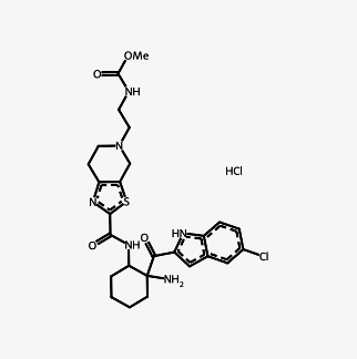 COC(=O)NCCN1CCc2nc(C(=O)NC3CCCCC3(N)C(=O)c3cc4cc(Cl)ccc4[nH]3)sc2C1.Cl